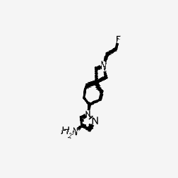 Nc1cnn(C2CCC3(CC2)CN(CCF)C3)c1